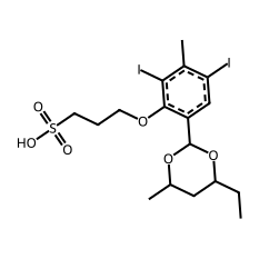 CCC1CC(C)OC(c2cc(I)c(C)c(I)c2OCCCS(=O)(=O)O)O1